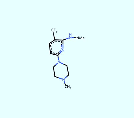 CNNc1nc(N2CCN(C)CC2)ccc1C(F)(F)F